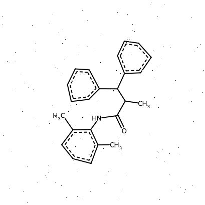 Cc1cccc(C)c1NC(=O)C(C)C(c1ccccc1)c1ccccc1